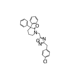 O=C1N(Cc2nc(Cc3ccc(Cl)cc3)no2)CCCC1(c1ccccc1)c1ccccc1